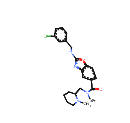 CCCN(CC1CCCCN1C)C(=O)c1ccc2oc(NCc3cccc(Cl)c3)nc2c1